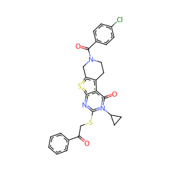 O=C(CSc1nc2sc3c(c2c(=O)n1C1CC1)CCN(C(=O)c1ccc(Cl)cc1)C3)c1ccccc1